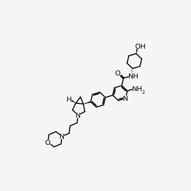 Nc1ncc(-c2ccc([C@]34C[C@H]3CN(CCCN3CCOCC3)C4)cc2)cc1C(=O)N[C@H]1CC[C@H](O)CC1